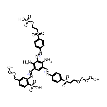 Nc1c(/N=N/c2ccc(S(=O)(=O)CCOSOOO)cc2)cc(/N=N/c2cc(SOOO)ccc2S(=O)(=O)O)c(N)c1/N=N/c1ccc(S(=O)(=O)CCOS(=O)(=O)O)cc1